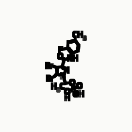 Cc1ccc(NC(=O)c2nn(C(C)OP(=O)(O)O)c(Br)c2Br)c(F)c1